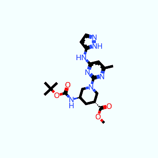 COC(=O)[C@@H]1C[C@@H](NC(=O)OC(C)(C)C)CN(c2nc(C)cc(Nc3ccn[nH]3)n2)C1